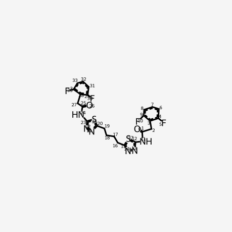 O=C(Cc1c(F)cccc1F)Nc1nnc(CCCCc2nnc(NC(=O)Cc3c(F)cccc3F)s2)s1